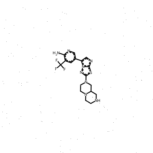 Nc1ncc(-c2cnc3sc(N4CCN5CCNCC5C4)nn23)cc1C(F)(F)F